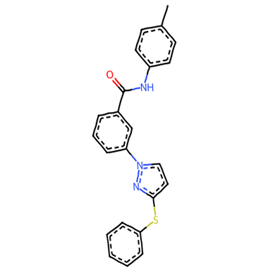 Cc1ccc(NC(=O)c2cccc(-n3ccc(Sc4ccccc4)n3)c2)cc1